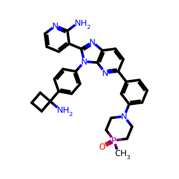 CP1(=O)CCN(c2cccc(-c3ccc4nc(-c5cccnc5N)n(-c5ccc(C6(N)CCC6)cc5)c4n3)c2)CC1